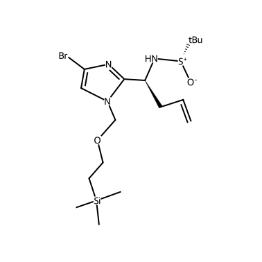 C=CC[C@H](N[S@@+]([O-])C(C)(C)C)c1nc(Br)cn1COCC[Si](C)(C)C